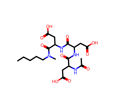 CCCCCN(C)C(=O)C(CC(=O)O)NC(=O)C(CC(=O)O)NC(=O)C(CC(=O)O)NC(C)=O